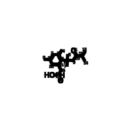 Cc1cc(C)c(C(C)(C)CC(=O)C(C)C)c(C[PH](=O)O)c1